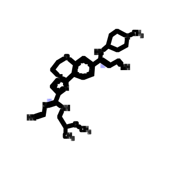 COC(C)CN/C(=N\C=N)c1cn2c(n1)-c1ccc(/C(=C/C=N)NC3CCN(C)CC3)cc1OCC2